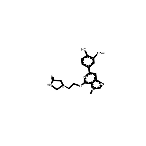 COc1cc(-c2cc3ncn(C)c3c(OCC[C@H]3CNC(=O)C3)n2)ccc1C#N